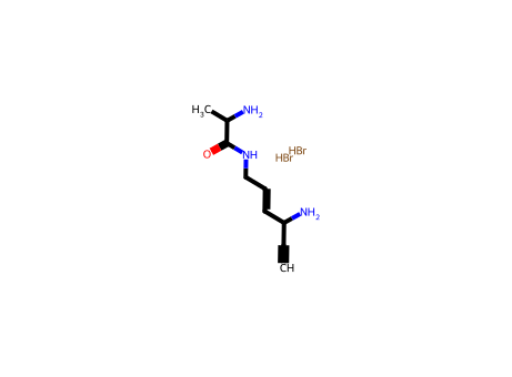 Br.Br.C#CC(N)C=CCNC(=O)C(C)N